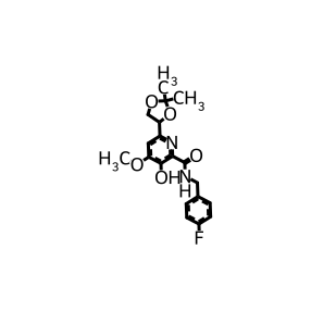 COc1cc(C2COC(C)(C)O2)nc(C(=O)NCc2ccc(F)cc2)c1O